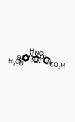 CS(=O)(=O)c1ccc(Nc2ncnc(OC3CCN(C(=O)O)CC3)c2[N+](=O)[O-])cc1